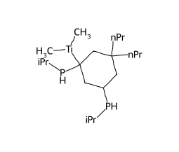 CCCC1(CCC)CC(PC(C)C)C[C](PC(C)C)([Ti]([CH3])[CH3])C1